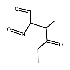 CCC(=O)C(C)C(C=O)N=O